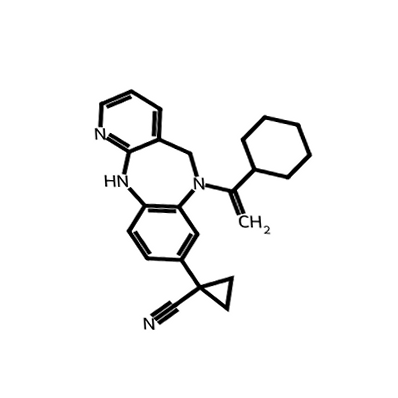 C=C(C1CCCCC1)N1Cc2cccnc2Nc2ccc(C3(C#N)CC3)cc21